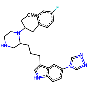 COCC(Cc1ccc(F)cc1)N1CCNCC1CCCc1c[nH]c2ccc(-n3cnnc3)cc12